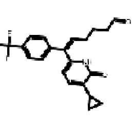 CC(F)(F)c1ccc(/C(=C/CCCC=O)c2ccc(C3CC3)c(=O)[nH]2)cc1